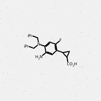 CC(C)CN(CC(C)C)c1cc(F)c(C2CC2C(=O)O)cc1N